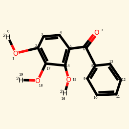 [2H]Oc1ccc(C(=O)c2ccccc2)c(O[2H])c1O[2H]